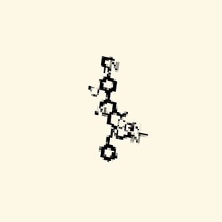 COc1cc(-n2cccn2)ccc1C1=CN(C)C2=CC(N(Cc3ccccc3)Cc3nc(C)no3)OC(C)C2=C1